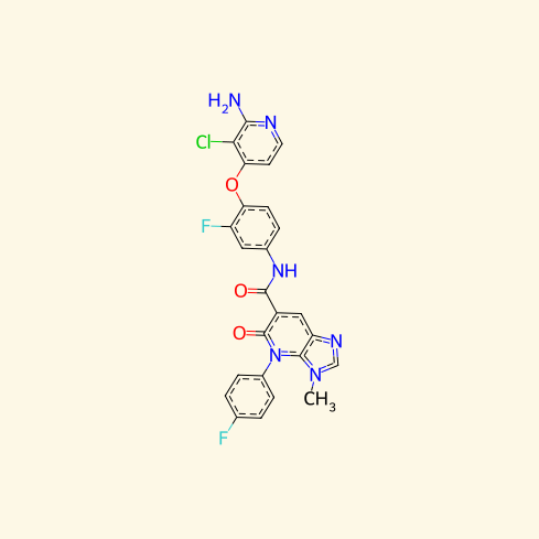 Cn1cnc2cc(C(=O)Nc3ccc(Oc4ccnc(N)c4Cl)c(F)c3)c(=O)n(-c3ccc(F)cc3)c21